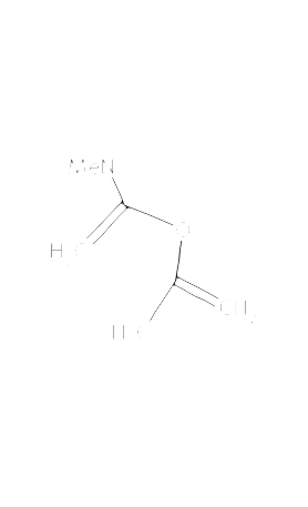 C=C(C)OC(=C)NC